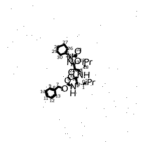 CC(C)C[C@H](NC(=O)OCc1ccccc1)C(=O)N[C@@H](CC(C)C)C(=O)c1nn(C2CCCCC2)c(=O)o1